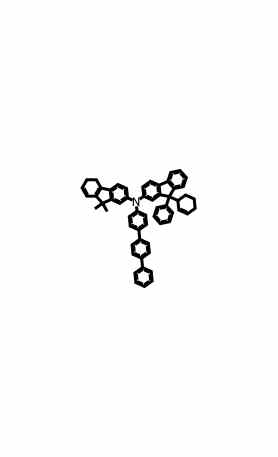 CC1(C)C2=C(CCC=C2)c2ccc(N(c3ccc(-c4ccc(-c5ccccc5)cc4)cc3)c3ccc4c(c3)C(c3ccccc3)(C3C=CCCC3)c3ccccc3-4)cc21